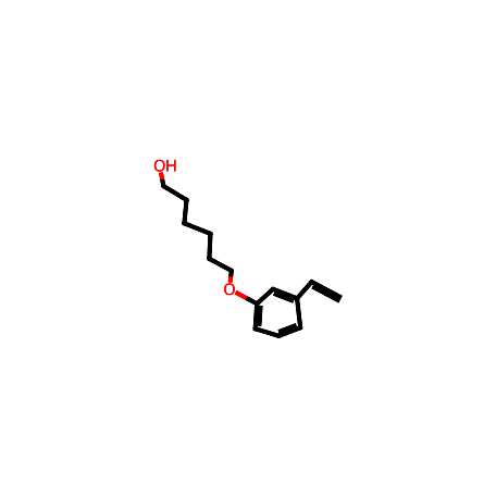 C=Cc1cccc(OCCCCCCO)c1